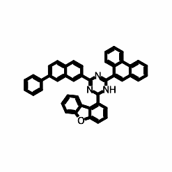 c1ccc(-c2ccc3ccc(C4=NC(c5cccc6oc7ccccc7c56)NC(c5cc6ccccc6c6ccccc56)=N4)cc3c2)cc1